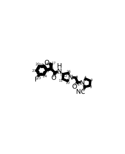 N#CC1CCCN1C(=O)CN1CC[C@H](NC(=O)c2coc3ccc(F)cc23)C1